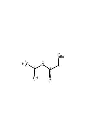 CCCCCC(=O)OC(C)O